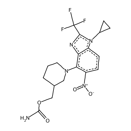 NC(=O)OCC1CCCN(c2c([N+](=O)[O-])ccc3c2nc(C(F)(F)F)n3C2CC2)C1